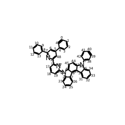 c1cccc(-c2cc(-c3ccccc3)nc(-c3cccc(-n4c5ccccc5c5c6c7ccccc7n(-c7cc#ccc7)c6ccc54)n3)c2)c#1